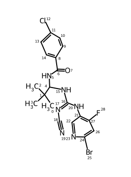 CC(C)(C)C(NC(=O)c1ccc(Cl)cc1)NC(=NC#N)Nc1cnc(Br)cc1F